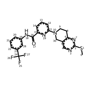 CSc1ncc2c(n1)CCN(c1cccc(C(=O)Nc3cccc(C(F)(F)F)c3)n1)C2